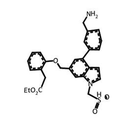 CCOC(=O)Cc1ccccc1OCc1cc(-c2cccc(CN)c2)c2ccn(C[SH](=O)=O)c2c1